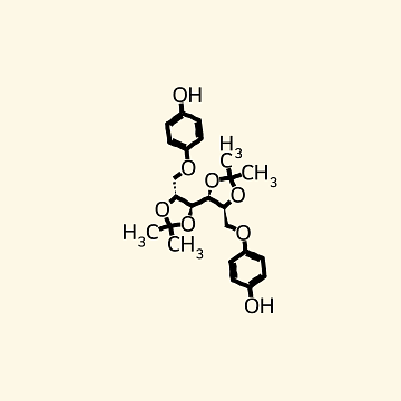 CC1(C)O[C@@H]([C@H]2OC(C)(C)O[C@@H]2COc2ccc(O)cc2)[C@H](COc2ccc(O)cc2)O1